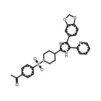 CC(=O)c1ccc(S(=O)(=O)N2CCC(c3nc(-c4ccc5c(c4)OCO5)c(-c4ccccn4)[nH]3)CC2)cc1